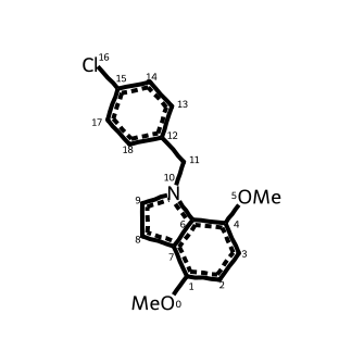 COc1ccc(OC)c2c1ccn2Cc1ccc(Cl)cc1